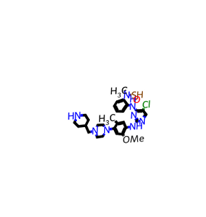 COc1cc(N2CCN(CC3CCNCC3)CC2)c(C)cc1Nc1ncc(Cl)c(Nc2ccccc2N(C)[SH]=O)n1